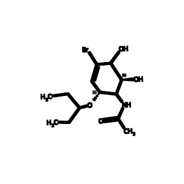 CCC(CC)O[C@@H]1C=C(Br)C(O)[C@@H](O)C1NC(C)=O